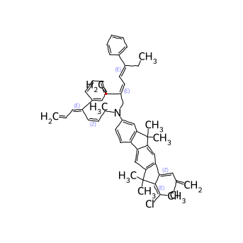 C=C/C=C(\C=C/C(C)N(C/C(C=C)=C/C=C(\CC)c1ccccc1)c1ccc2c(c1)C(C)(C)c1cc3c(cc1-2)C(C)(C)C(=C(/C)Cl)/C3=C\C(=C)Cl)c1ccccc1